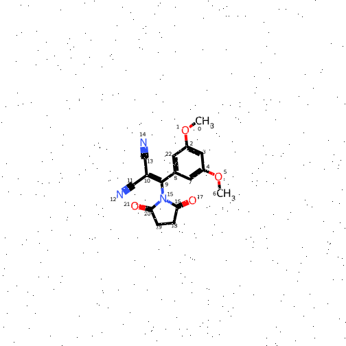 COc1cc(OC)cc(C(=C(C#N)C#N)N2C(=O)CCC2=O)c1